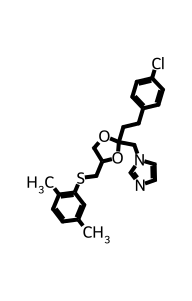 Cc1ccc(C)c(SCC2COC(CCc3ccc(Cl)cc3)(Cn3ccnc3)O2)c1